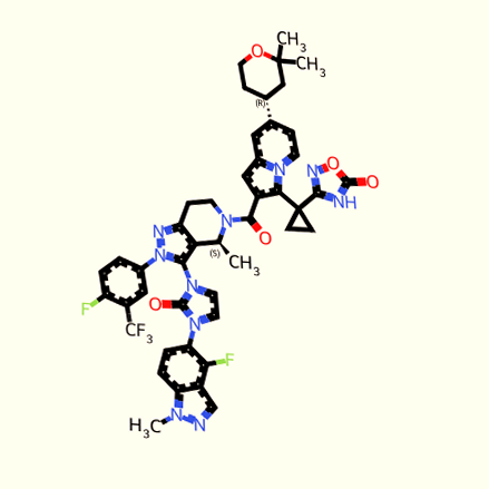 C[C@H]1c2c(nn(-c3ccc(F)c(C(F)(F)F)c3)c2-n2ccn(-c3ccc4c(cnn4C)c3F)c2=O)CCN1C(=O)c1cc2cc([C@@H]3CCOC(C)(C)C3)ccn2c1C1(c2noc(=O)[nH]2)CC1